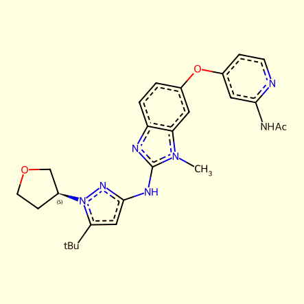 CC(=O)Nc1cc(Oc2ccc3nc(Nc4cc(C(C)(C)C)n([C@H]5CCOC5)n4)n(C)c3c2)ccn1